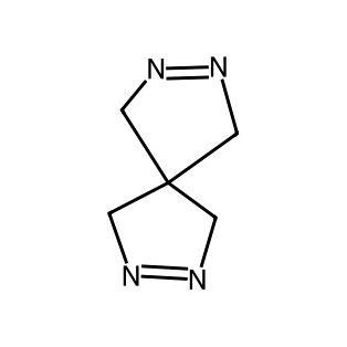 C1N=NCC12CN=NC2